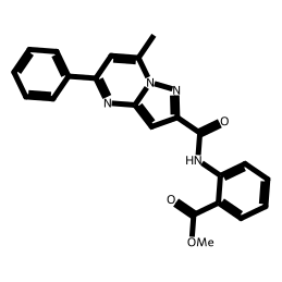 COC(=O)c1ccccc1NC(=O)c1cc2nc(-c3ccccc3)cc(C)n2n1